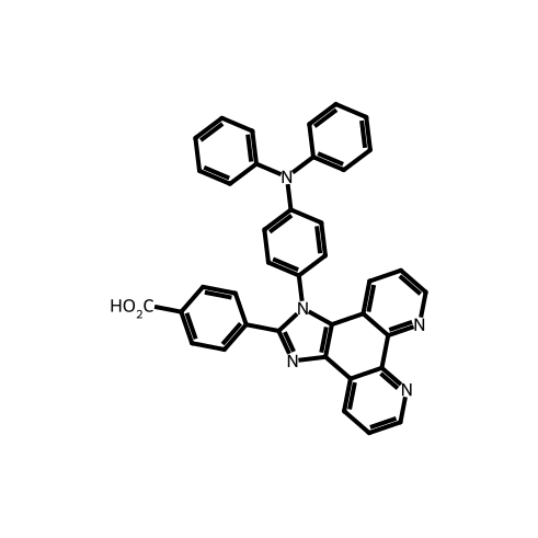 O=C(O)c1ccc(-c2nc3c4cccnc4c4ncccc4c3n2-c2ccc(N(c3ccccc3)c3ccccc3)cc2)cc1